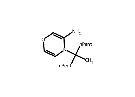 CCCCCC(C)(CCCCC)N1C=COC=C1N